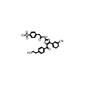 CCS(=O)(=O)c1ccc(CC(=O)Nc2nc(C3=CCCC(C#N)=C3)c(C(=O)c3ccc(CCO)cc3)s2)cc1